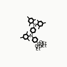 CCO[Si](OCC)(OCC)c1ccc(N(c2ccc(N(c3c(C)cc(C)cc3C)c3c(C)cc(C)cc3C)cc2)c2c(C)cc(C)cc2C)cc1